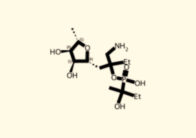 CCC(CN)(C[C@H]1O[C@@H](C)[C@H](O)[C@@H]1O)OP(=O)(O)C(C)(O)CC